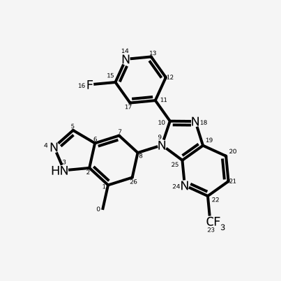 CC1=c2[nH]ncc2=CC(n2c(-c3ccnc(F)c3)nc3ccc(C(F)(F)F)nc32)C1